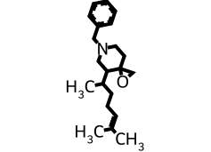 CC(C)=CCCC(C)C1CN(Cc2ccccc2)CCC12CO2